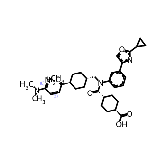 C=C(/C=C\C(=N/C)N(C)C)[C@H]1CC[C@H](CN(c2cccc(-c3coc(C4CC4)n3)c2)C(=O)[C@H]2CC[C@H](C(=O)O)CC2)CC1